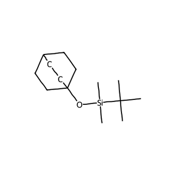 CC(C)(C)[Si](C)(C)OC12CCC(CC1)CC2